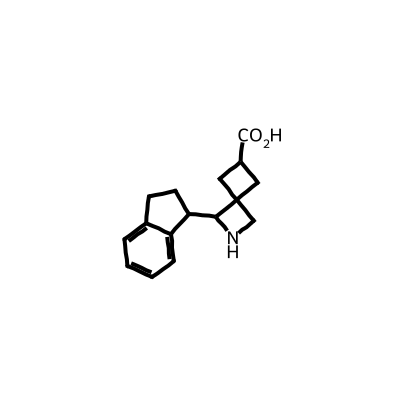 O=C(O)C1CC2(CNC2C2CCc3ccccc32)C1